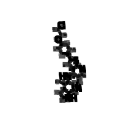 Cc1c(Nc2c(C#N)cnc3sc(-c4ccc(OCCCl)cc4)cc23)ccc2[nH]ccc12